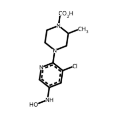 CC1CN(c2ncc(NO)cc2Cl)CCN1C(=O)O